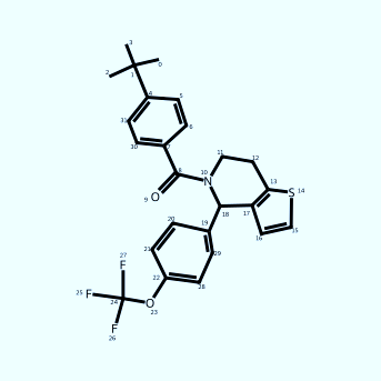 CC(C)(C)c1ccc(C(=O)N2CCc3sccc3C2c2ccc(OC(F)(F)F)cc2)cc1